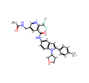 CC(C)C(=O)NCc1cnc(C(F)F)c(C(=O)Nc2ccc3c(c2)cc(-c2ccc(C(F)(F)F)cc2)n3C2CCOC2)c1